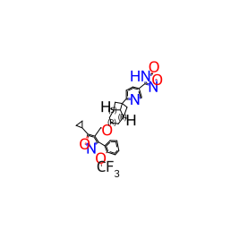 O=c1[nH]c(-c2ccc(C34C[C@H]5C[C@@H](OCc6c(-c7ccccc7OC(F)(F)F)noc6C6CC6)C[C@@H](C3)C54)nc2)no1